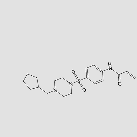 C=CC(=O)Nc1ccc(S(=O)(=O)N2CCN(CC3CCCC3)CC2)cc1